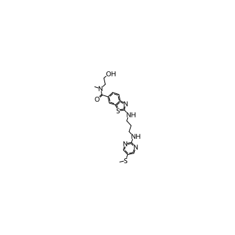 CSc1cnc(NCCCNc2nc3ccc(C(=O)N(C)CCO)cc3s2)nc1